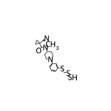 CN(C(=O)C1(C#N)CC1)C1CCN(c2cccc(SCSS)c2)CC1